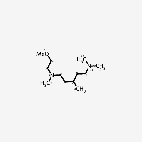 COCCN(C)CCC(C)CCN(C)C